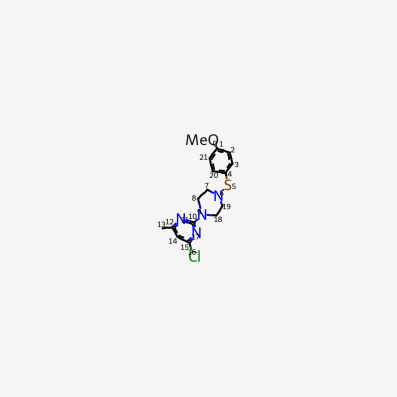 COc1ccc(SN2CCN(c3nc(C)cc(Cl)n3)CC2)cc1